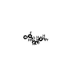 Cc1ncc(NC(=O)c2cc(F)cc(N3CCCCC3)c2)cc1C(=O)Nc1ccc(NC(C)C)nc1